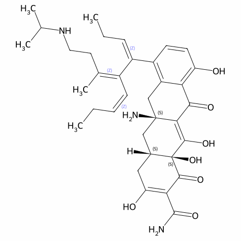 CC\C=C/C(C(=C\CC)/c1ccc(O)c2c1C[C@@]1(N)C[C@H]3CC(O)=C(C(N)=O)C(=O)[C@@]3(O)C(O)=C1C2=O)=C(\C)CCNC(C)C